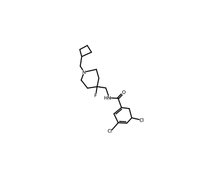 O=C(NCC1(F)CCN(CC2CCC2)CC1)C1=CC(Cl)=CC(Cl)C1